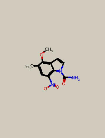 COc1c(C)cc([N+](=O)[O-])c2c1c[c]n2C(N)=O